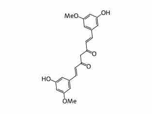 COc1cc(O)cc(C=CC(=O)CC(=O)C=Cc2cc(O)cc(OC)c2)c1